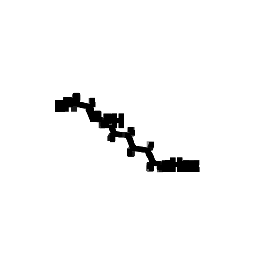 CCCC=CPCCCCCCCCCCC